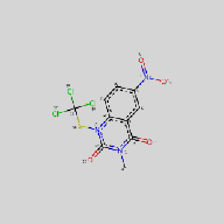 Cn1c(=O)c2cc([N+](=O)[O-])ccc2n(SC(Cl)(Cl)Cl)c1=O